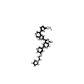 Cc1ccc(-c2cncc3[nH]c(-c4n[nH]c5cnc(-c6cncc(OCCN7CCCC7)c6)cc45)cc23)s1